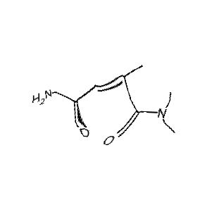 CC(=CC(N)=O)C(=O)N(C)C